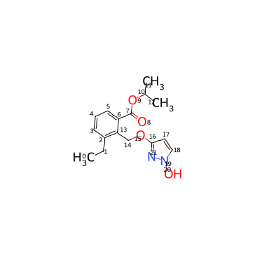 CCc1cccc(C(=O)OC(C)C)c1COc1ccn(O)n1